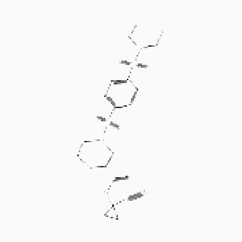 CCN(CC)S(=O)(=O)c1ccc(S(=O)(=O)N2CCC[C@@H](C(=O)NC3(C#N)CC3)C2)cc1